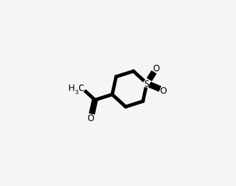 CC(=O)C1CCS(=O)(=O)CC1